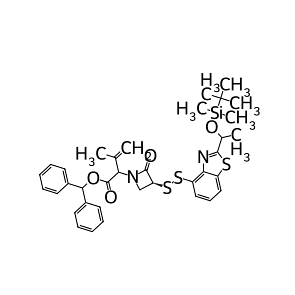 C=C(C)C(C(=O)OC(c1ccccc1)c1ccccc1)N1C[C@H](SSc2cccc3sc(C(C)O[Si](C)(C)C(C)(C)C)nc23)C1=O